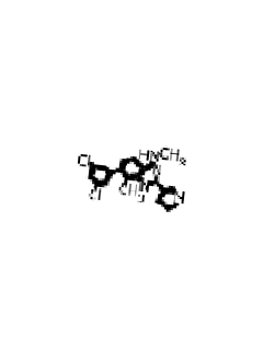 CNc1nc(-c2cccnc2)nc2c(C)c(-c3cc(Cl)cc(Cl)c3)ccc12